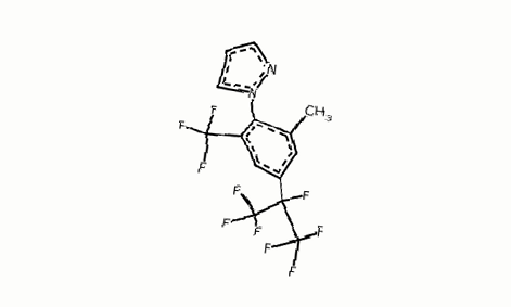 Cc1cc(C(F)(C(F)(F)F)C(F)(F)F)cc(C(F)(F)F)c1-n1cccn1